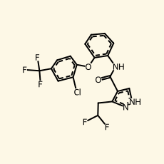 O=C(Nc1ccccc1Oc1ccc(C(F)(F)F)cc1Cl)c1c[nH]nc1CC(F)F